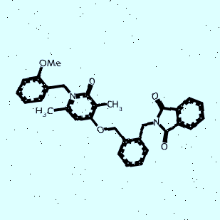 COc1ccccc1Cn1c(C)cc(OCc2ccccc2CN2C(=O)c3ccccc3C2=O)c(C)c1=O